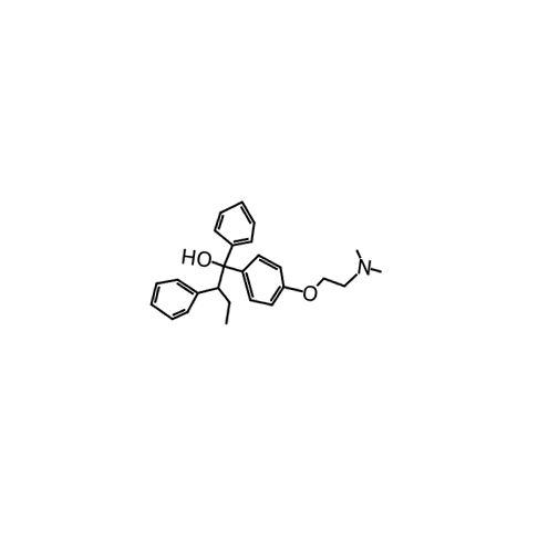 CCC(c1ccccc1)C(O)(c1ccccc1)c1ccc(OCCN(C)C)cc1